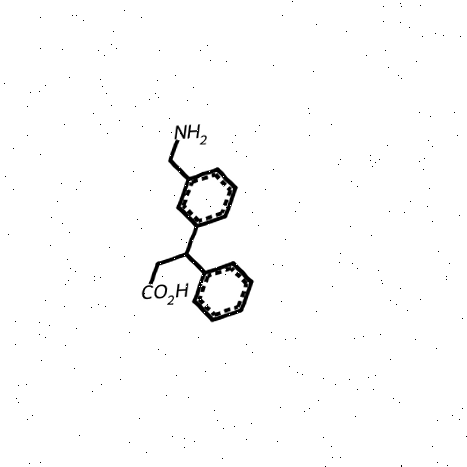 NCc1cccc(C(CC(=O)O)c2ccccc2)c1